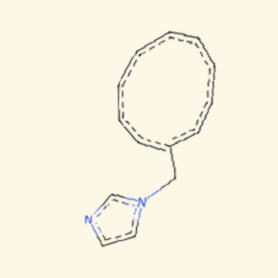 c1ccccc(Cn2ccnc2)cccc1